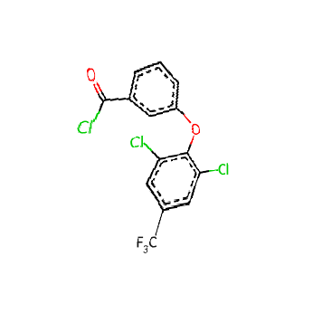 O=C(Cl)c1cccc(Oc2c(Cl)cc(C(F)(F)F)cc2Cl)c1